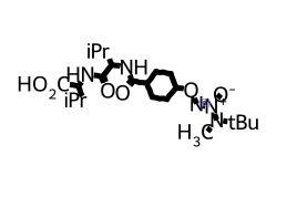 CC(C)C(NC(=O)C(NC(=O)C1CCC(O/N=[N+](\[O-])N(C)C(C)(C)C)CC1)C(C)C)C(=O)O